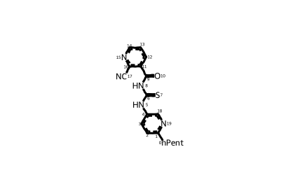 CCCCCc1ccc(NC(=S)NC(=O)c2cccnc2C#N)cn1